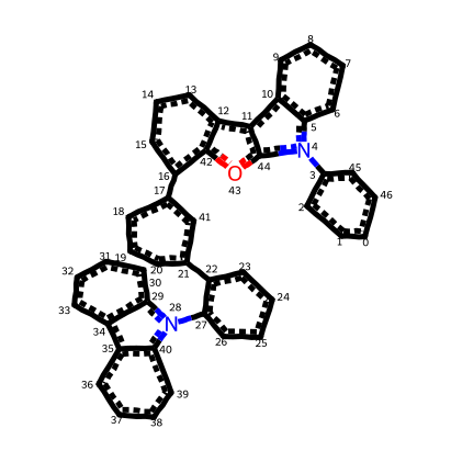 c1ccc(-n2c3ccccc3c3c4cccc(-c5cccc(-c6ccccc6-n6c7ccccc7c7ccccc76)c5)c4oc32)cc1